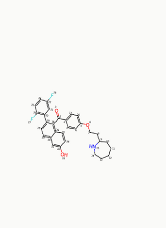 O=C(c1ccc(OCCC2CCCCCN2)cc1)c1c(-c2cc(F)ccc2F)ccc2cc(O)ccc12